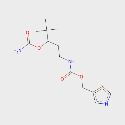 CC(C)(C)C(CCNC(=O)OCc1cncs1)OC(N)=O